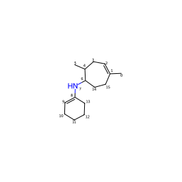 CC1=CCC(C)C(NC2=CCCCC2)CC1